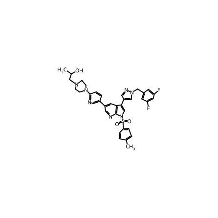 Cc1ccc(S(=O)(=O)n2cc(-c3cnn(Cc4cc(F)cc(F)c4)c3)c3cc(-c4ccc(N5CCN(CC(C)O)CC5)nc4)cnc32)cc1